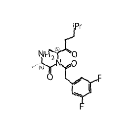 CC(C)CCC(=O)[C@H](C)N(C(=O)Cc1cc(F)cc(F)c1)C(=O)[C@H](C)N